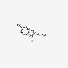 CCC[CH]CCCc1cc2cc(Cl)ccc2n1C